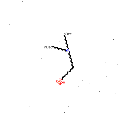 CCCCCCCCCCCCCCCCC=CN(C=CCCCCCCCCCCCCCCCC)CCCCCCCC/C=C\CCCCCCCCOP(=O)(O)O